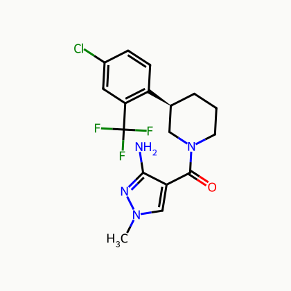 Cn1cc(C(=O)N2CCC[C@H](c3ccc(Cl)cc3C(F)(F)F)C2)c(N)n1